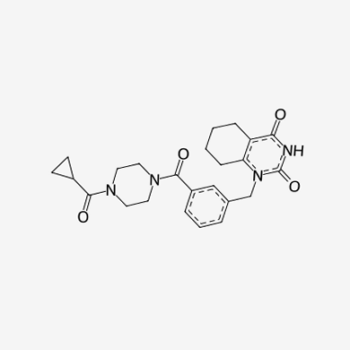 O=C(c1cccc(Cn2c3c(c(=O)[nH]c2=O)CCCC3)c1)N1CCN(C(=O)C2CC2)CC1